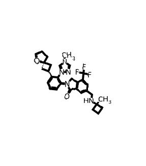 Cn1cn[n+](-c2c(N3Cc4c(cc(CNC5(C)CCC5)cc4C(F)(F)F)C3=O)cccc2[C@H]2C[C@]3(CCCO3)C2)c1